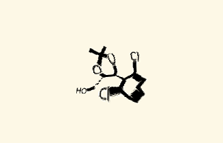 CC1(C)O[C@@H](CO)[C@H](c2c(Cl)cccc2Cl)O1